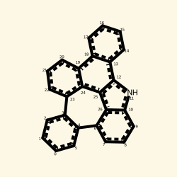 c1ccc2c(c1)-c1cccc3[nH]c4c5ccccc5c5cccc-2c5c4c13